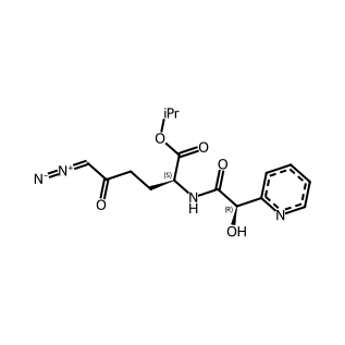 CC(C)OC(=O)[C@H](CCC(=O)C=[N+]=[N-])NC(=O)[C@H](O)c1ccccn1